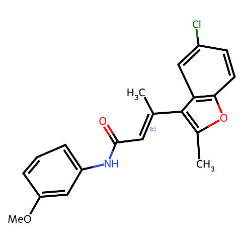 COc1cccc(NC(=O)/C=C(\C)c2c(C)oc3ccc(Cl)cc23)c1